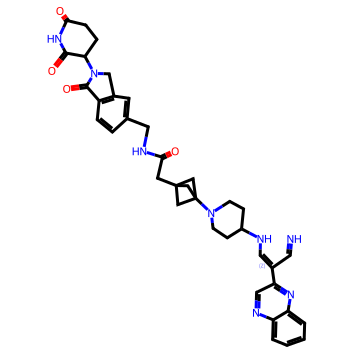 N=C/C(=C\NC1CCN(C23CC(CC(=O)NCc4ccc5c(c4)CN(C4CCC(=O)NC4=O)C5=O)(C2)C3)CC1)c1cnc2ccccc2n1